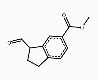 COC(=O)c1ccc2c(c1)C(C=O)CC2